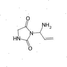 C=CC(N)N1C(=O)CNC1=O